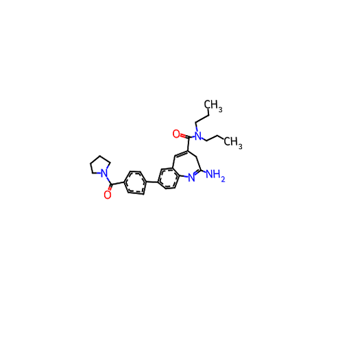 CCCN(CCC)C(=O)C1=Cc2cc(-c3ccc(C(=O)N4CCCC4)cc3)ccc2N=C(N)C1